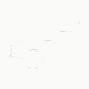 OCCCCc1cccc2[nH]ccc12